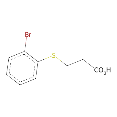 O=C(O)CCSc1ccccc1Br